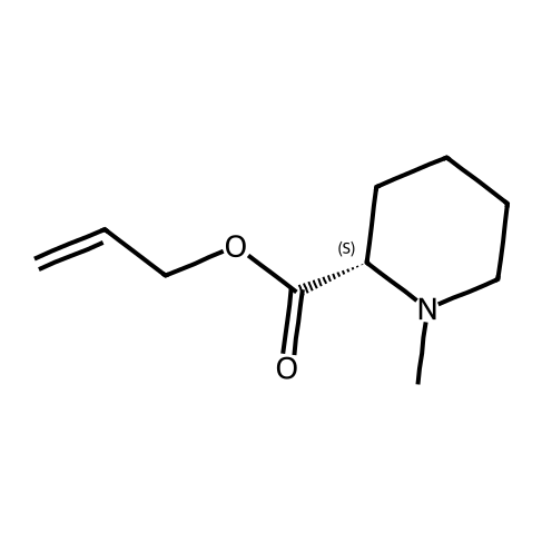 C=CCOC(=O)[C@@H]1CCCCN1C